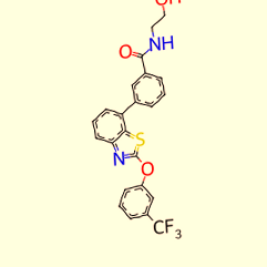 O=C(NCCO)c1cccc(-c2cccc3nc(Oc4cccc(C(F)(F)F)c4)sc23)c1